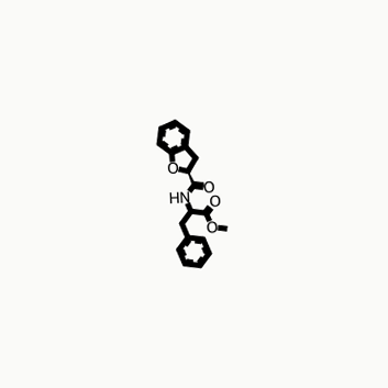 COC(=O)C(Cc1ccccc1)NC(=O)[C@@H]1Cc2ccccc2O1